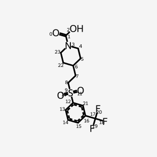 O=C(O)N1CCC(CCS(=O)(=O)c2cccc(C(F)(F)F)c2)CC1